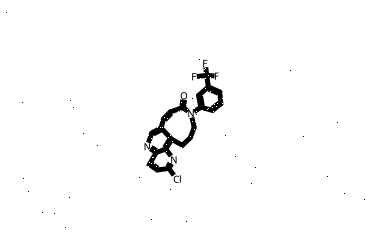 O=C1/C=C\c2cnc3ccc(Cl)nc3c2CCCN1c1cccc(C(F)(F)F)c1